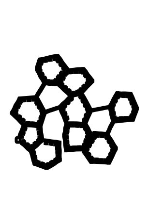 c1ccc(-c2ccccc2-c2c3ccccc3c(-c3c(-c4ccccc4)ccc4oc5ccccc5c34)c3ccccc23)cc1